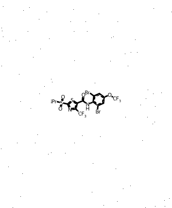 CC(C)S(=O)(=O)c1nc(C(F)(F)F)c(C(=O)Nc2c(Br)cc(OC(F)(F)F)cc2Br)s1